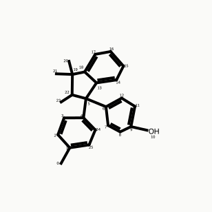 Cc1ccc(C2(c3ccc(O)cc3)c3ccccc3C(C)(C)C2C)cc1